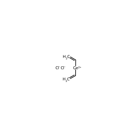 C=[CH][Ge+2][CH]=C.[Cl-].[Cl-]